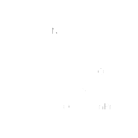 [CH2]CCS(=O)(=O)c1cccnc1